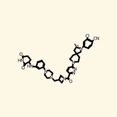 C[C@@H]1CC2(CCN(c3ccc(C(=O)N4CC(CN5CCN(c6cccc(NC7CCC(=O)NC7=O)c6)CC5)C4)nn3)CC2)CN1c1ccc(C#N)c(Cl)c1